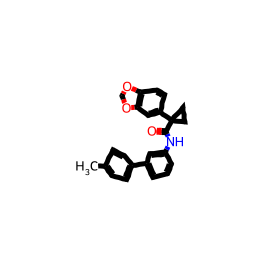 Cc1ccc(-c2cccc(NC(=O)C3(c4ccc5c(c4)OCO5)CC3)c2)cc1